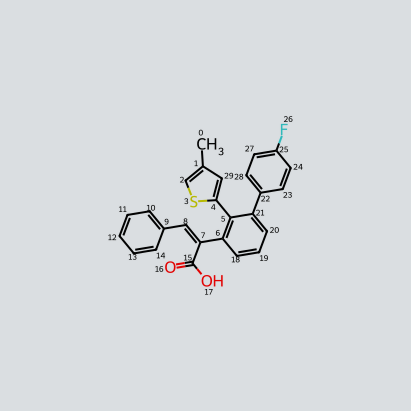 Cc1csc(-c2c(C(=Cc3ccccc3)C(=O)O)cccc2-c2ccc(F)cc2)c1